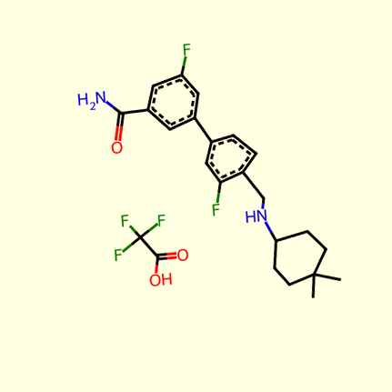 CC1(C)CCC(NCc2ccc(-c3cc(F)cc(C(N)=O)c3)cc2F)CC1.O=C(O)C(F)(F)F